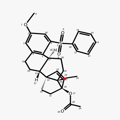 COc1cc2c(c(S(=O)(=O)c3ccccc3)c1)[C@H]1CC[C@@]3(C)[C@]4(C=C(C)[C@]3(OC(C)=O)CC4)[C@@H]1CC2